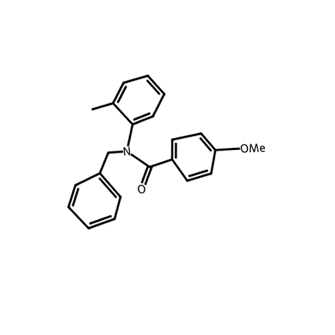 COc1ccc(C(=O)N(Cc2ccccc2)c2ccccc2C)cc1